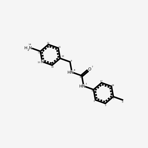 Cc1ccc(NC(=O)NCc2ccc(N)nc2)cc1